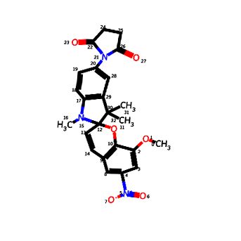 COc1cc([N+](=O)[O-])cc2c1OC1(C=C2)N(C)c2ccc(N3C(=O)CCC3=O)cc2C1(C)C